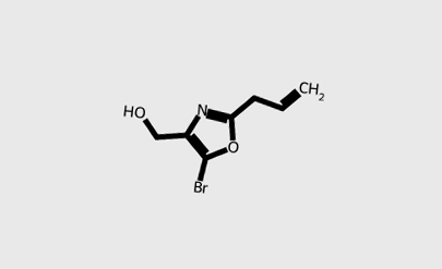 C=CCc1nc(CO)c(Br)o1